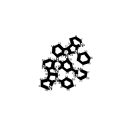 c1ccc(-n2c3ncccc3c3c4cccc5c4n(c32)-c2cc(-c3ncccn3)cc3c2B5c2ccnc4c5c6cccnc6n(-c6ccccc6)c5n-3c24)cc1